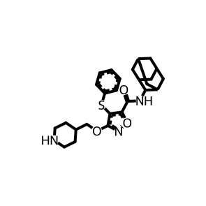 O=C(NC1C2CC3CC(C2)CC1C3)c1onc(OCC2CCNCC2)c1Sc1ccccc1